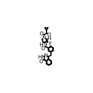 O=C(C(=O)N1C[C@@H]2C[C@H]1CN2C(=O)c1cc(Cc2n[nH]c(=O)c3ccccc23)ccc1F)C1CC1